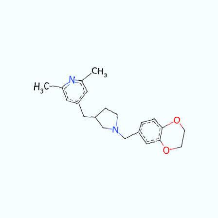 Cc1cc(CC2CCN(Cc3ccc4c(c3)OCCO4)C2)cc(C)n1